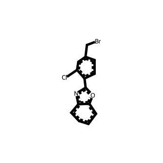 Clc1cc(CBr)ccc1-c1nc2ccccc2o1